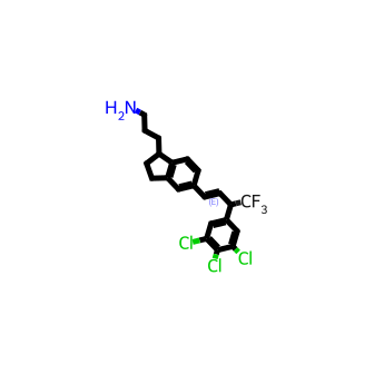 NCCCC1CCc2cc(/C=C/C(c3cc(Cl)c(Cl)c(Cl)c3)C(F)(F)F)ccc21